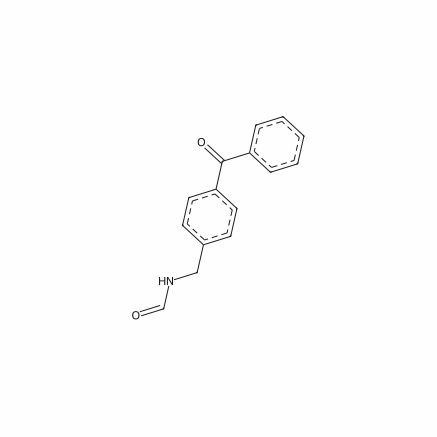 O=CNCc1ccc(C(=O)c2ccccc2)cc1